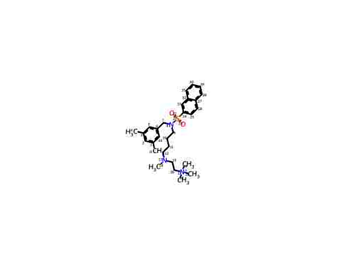 Cc1cc(C)cc(CN(CCCCN(C)CC[N+](C)(C)C)S(=O)(=O)c2ccc3ccccc3c2)c1